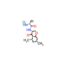 Cc1cc(C)c2c(=O)c(NC(=O)C(NCl)C(C)C)coc2c1